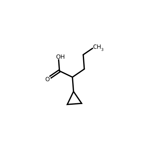 CCCC(C(=O)O)C1CC1